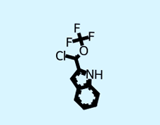 FC(F)(F)O[C](Cl)c1cc2ccccc2[nH]1